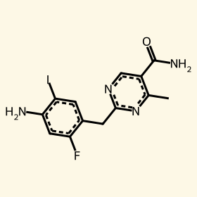 Cc1nc(Cc2cc(I)c(N)cc2F)ncc1C(N)=O